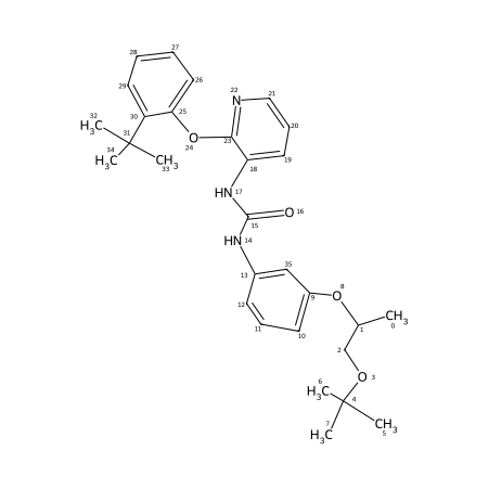 CC(COC(C)(C)C)Oc1cccc(NC(=O)Nc2cccnc2Oc2ccccc2C(C)(C)C)c1